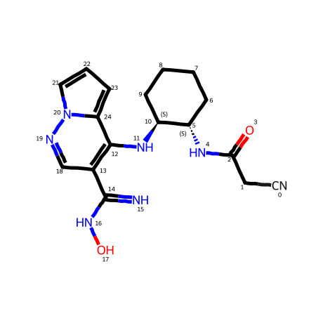 N#CCC(=O)N[C@H]1CCCC[C@@H]1Nc1c(C(=N)NO)cnn2cccc12